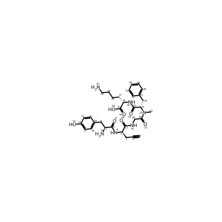 C#CC[C@@H](NC(=O)[C@@H](N)Cc1ccc(O)cc1)C(=O)NCC(=O)N(C)[C@@H](Cc1ccccc1)C(=O)N[C@@H](CCCCN)C(=O)O